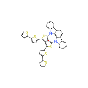 c1csc(-c2ccc(-c3ccc(-n4c5ccccc5c5ccc6c7ccccc7n(-c7ccc(-c8ccc(-c9cccs9)s8)s7)c6c54)s3)s2)c1